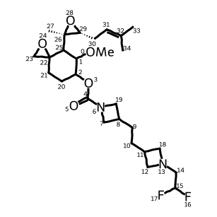 COC1C(OC(=O)N2CC(CCC3CN(CC(F)F)C3)C2)CCC2(CO2)C1[C@@]1(C)O[C@@H]1CC=C(C)C